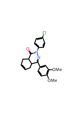 COc1ccc(C2=NN(c3ccc(Cl)cc3)C(=O)C3CC=CCC23)cc1OC